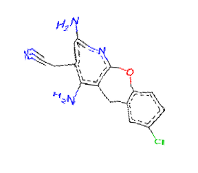 N#Cc1c(N)nc2c(c1N)Cc1cc(Cl)ccc1O2